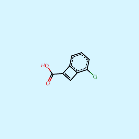 O=C(O)C1=Cc2c(Cl)cccc21